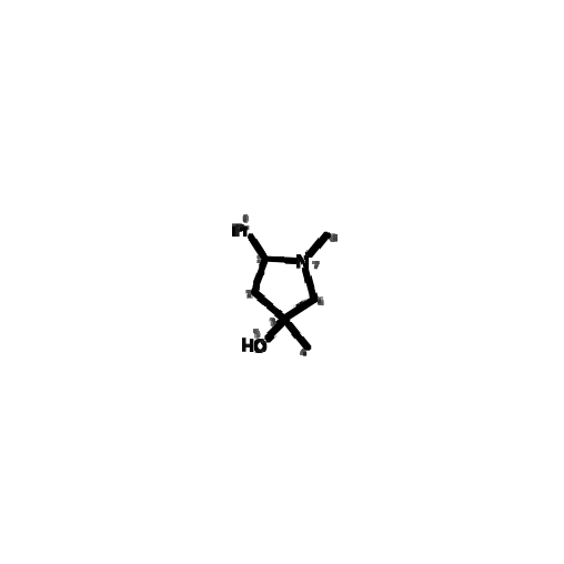 CC(C)C1CC(C)(O)CN1C